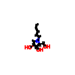 CCCCCN1C[C@H](O)[C@@H](O)[C@@H]1CO